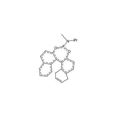 CC(C)N(C)p1oc2ccc3c(c2c2c(ccc4ccccc42)o1)CC=CC3